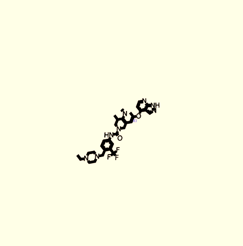 C=NC1=C(/C=C(\C)Oc2ccnc3[nH]ncc23)CN(C(=O)Nc2ccc(CN3CCN(CC)CC3)c(C(F)(F)F)c2)CC1C